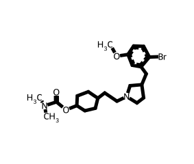 COc1ccc(Br)c(CC2CCN(CCC3CCC(OC(=O)N(C)C)CC3)C2)c1